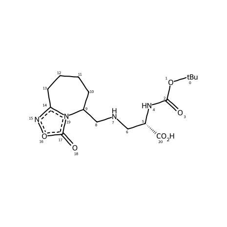 CC(C)(C)OC(=O)N[C@@H](CNCC1CCCCc2noc(=O)n21)C(=O)O